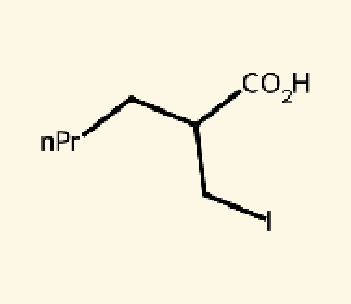 CCCCC(CI)C(=O)O